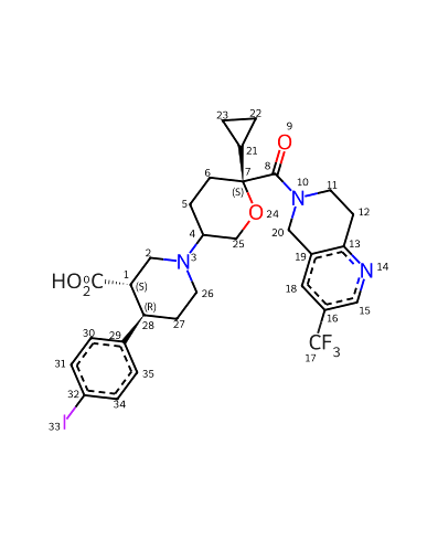 O=C(O)[C@@H]1CN(C2CC[C@@](C(=O)N3CCc4ncc(C(F)(F)F)cc4C3)(C3CC3)OC2)CC[C@H]1c1ccc(I)cc1